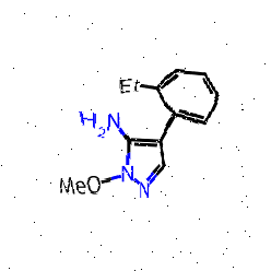 CCc1ccccc1-c1cnn(OC)c1N